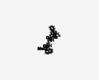 CCN(Cc1cc(C(=O)NCCCNC(=O)C(C)(OC)c2cccc3ccccc23)cc(Br)c1N)C1CCCCC1